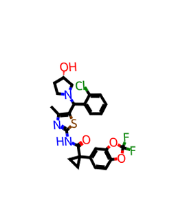 Cc1nc(NC(=O)C2(c3ccc4c(c3)OC(F)(F)O4)CC2)sc1C(c1ccccc1Cl)N1CC[C@H](O)C1